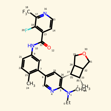 CCN(C=O)c1ncc(-c2cc(NC(=O)c3ccnc(C(F)(F)F)c3F)ccc2C)cc1[C@@H]1C2COCC2[C@@H]1C